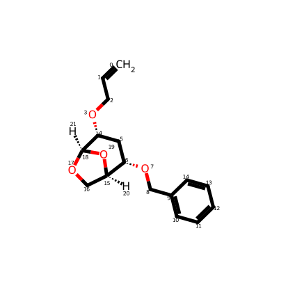 C=CCO[C@@H]1C[C@H](OCc2ccccc2)[C@H]2CO[C@@H]1O2